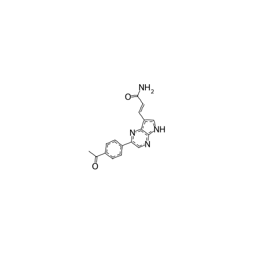 CC(=O)c1ccc(-c2cnc3[nH]cc(C=CC(N)=O)c3n2)cc1